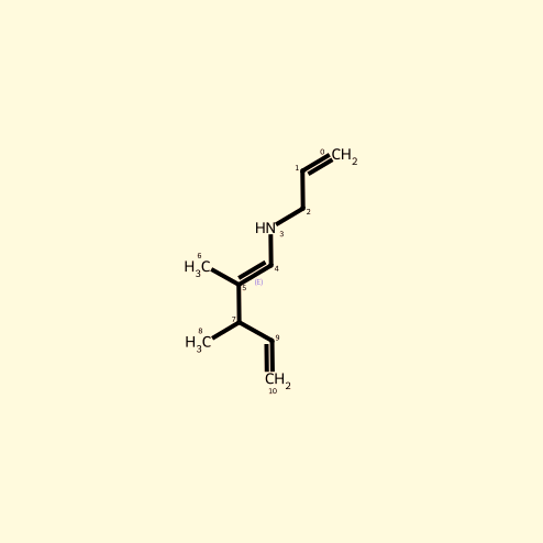 C=CCN/C=C(\C)C(C)C=C